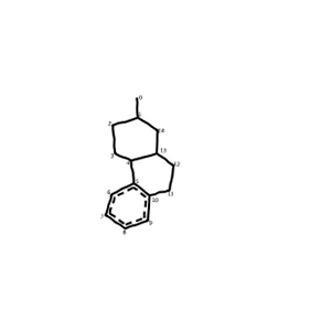 CC1CCC2c3ccccc3CCC2C1